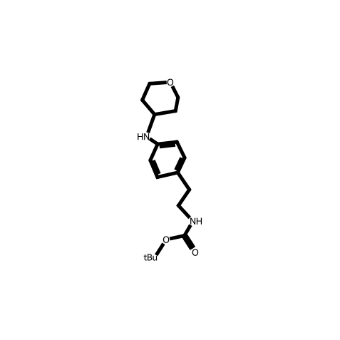 CC(C)(C)OC(=O)NCCc1ccc(NC2CCOCC2)cc1